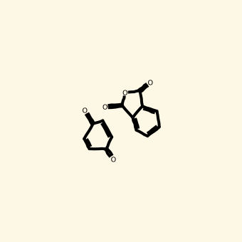 O=C1C=CC(=O)C=C1.O=C1OC(=O)c2ccccc21